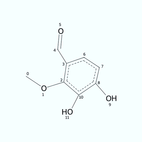 COc1c(C=O)ccc(O)c1O